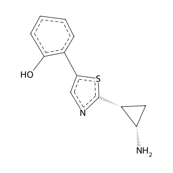 N[C@H]1C[C@H]1c1ncc(-c2ccccc2O)s1